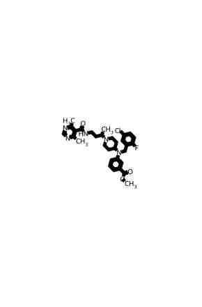 COC(=O)c1cccc(N(Cc2cc(Cl)ccc2F)C2CCN(C(C)CCNC(=O)c3c(C)ncnc3C)CC2)c1